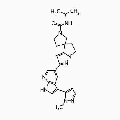 CC(C)NC(=O)N1CCC2(CCn3nc(-c4cnc5[nH]cc(-c6ccnn6C)c5c4)cc32)C1